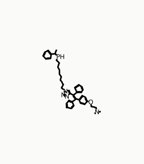 CC(PCCCCCCCCCn1cc(/C(=C(\c2ccccc2)c2ccc(OCCN(C)C)cc2)c2ccccc2)nn1)c1ccccc1